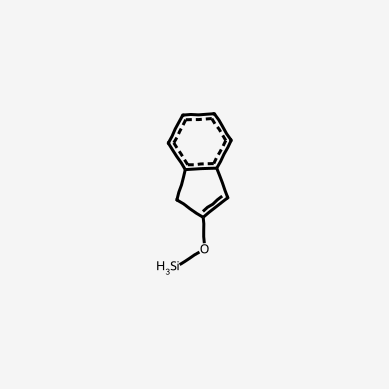 [SiH3]OC1=Cc2ccccc2C1